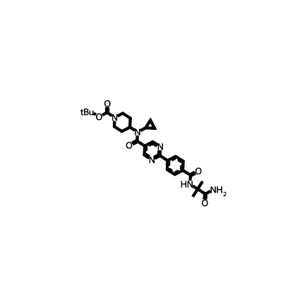 CC(C)(C)OC(=O)N1CCC(N(C(=O)c2cnc(-c3ccc(C(=O)NC(C)(C)C(N)=O)cc3)nc2)C2CC2)CC1